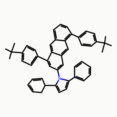 CC(C)(C)c1ccc(-c2cccc3cc4c(-c5ccc(C(C)(C)C)cc5)cc(-n5c(-c6ccccc6)ccc5C5C=CC=CC5)cc4cc23)cc1